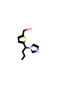 CCCC(c1ccc(CO)s1)n1ccnc1